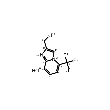 Cl.FC(F)(F)c1cccc2nc(CCl)cn12